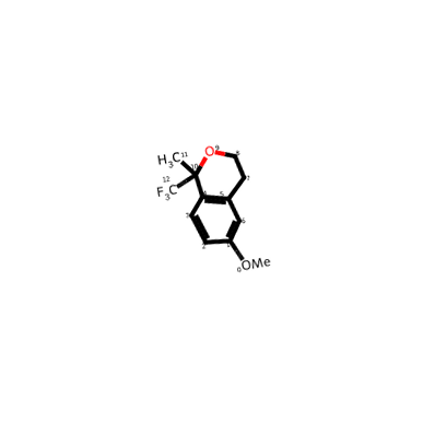 COc1ccc2c(c1)CCOC2(C)C(F)(F)F